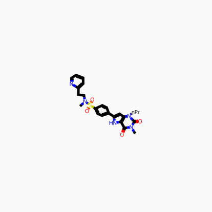 CCCn1c(=O)n(C)c(=O)c2[nH]c(-c3ccc(S(=O)(=O)N(C)CCc4ccccn4)cc3)cc21